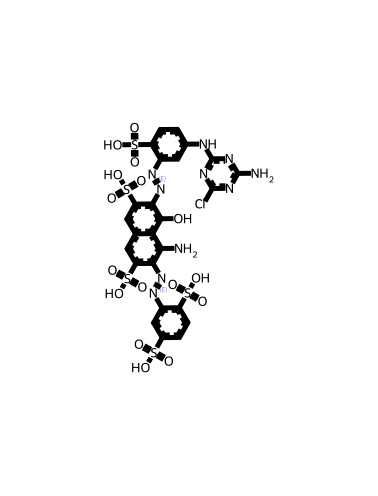 Nc1nc(Cl)nc(Nc2ccc(S(=O)(=O)O)c(/N=N/c3c(S(=O)(=O)O)cc4cc(S(=O)(=O)O)c(/N=N/c5cc(S(=O)(=O)O)ccc5S(=O)(=O)O)c(N)c4c3O)c2)n1